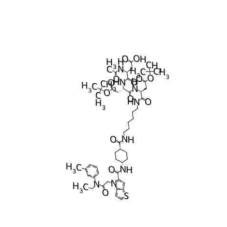 CCN(C(=O)Cn1c(C(=O)N[C@H]2CC[C@H](C(=O)NCCCCCCNC(=O)[C@H](CC(=O)OC(C)(C)C)NC(=O)[C@H](CC(=O)OC(C)(C)C)NC(=O)[C@H](CC(=O)O)NC(C)=O)CC2)cc2sccc21)c1cccc(C)c1